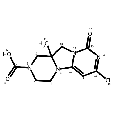 CC12CN(C(=O)O)CCN1c1cc(Cl)nc(=O)n1C2